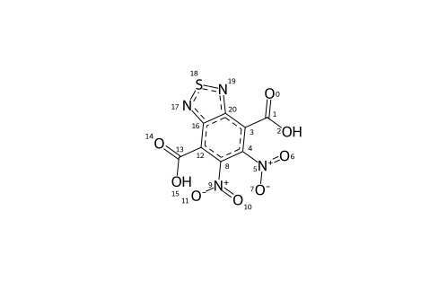 O=C(O)c1c([N+](=O)[O-])c([N+](=O)[O-])c(C(=O)O)c2nsnc12